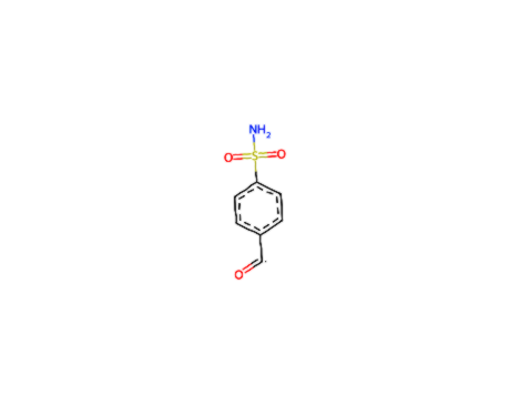 NS(=O)(=O)c1ccc([C]=O)cc1